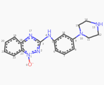 [O-][n+]1nc(Nc2cccc(N3CCNCC3)c2)nc2ccccc21